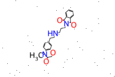 CN1C(=O)COc2cc(CCNCCCN3C(=O)c4ccccc4C3=O)ccc21